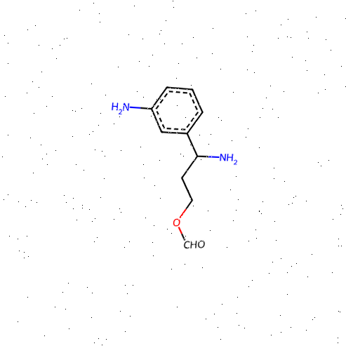 Nc1cccc(C(N)CCOC=O)c1